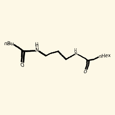 CCCCCCC(=O)NCCCNC(=O)CCCC